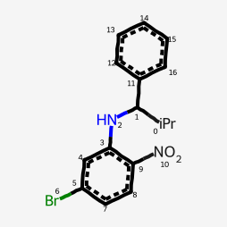 CC(C)C(Nc1cc(Br)ccc1[N+](=O)[O-])c1ccccc1